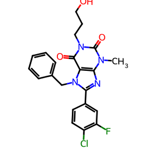 Cn1c(=O)n(CCCO)c(=O)c2c1nc(-c1ccc(Cl)c(F)c1)n2Cc1ccccc1